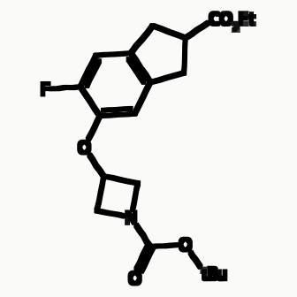 CCOC(=O)C1Cc2cc(F)c(OC3CN(C(=O)OC(C)(C)C)C3)cc2C1